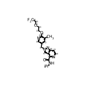 Cc1cc(Cn2cc3c(C(=O)NC(C)C)nccc3n2)cnc1OCCOCC(F)(F)F